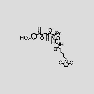 CC(C)[C@H](NC(=O)CNC(=O)CCCCCN1C(=O)C=CC1=O)C(=O)NCC(=O)Nc1ccc(CO)cc1